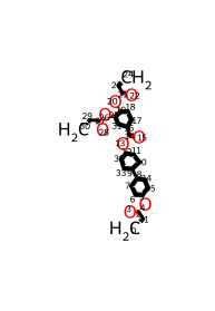 C=CC(=O)Oc1ccc(-c2ccc(OC(=O)c3ccc(OC(=O)C=C)c(OC(=O)C=C)c3)cc2)cc1